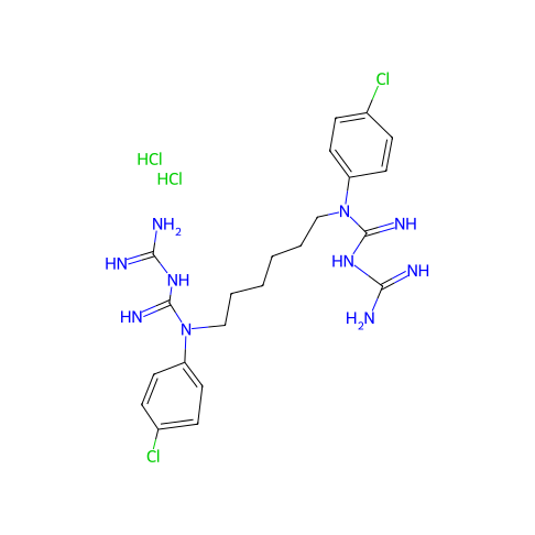 Cl.Cl.N=C(N)NC(=N)N(CCCCCCN(C(=N)NC(=N)N)c1ccc(Cl)cc1)c1ccc(Cl)cc1